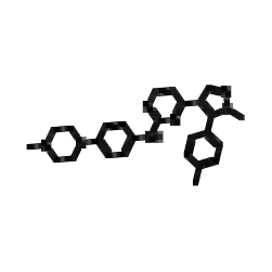 Cc1ccc(-c2c(-c3ccnc(Nc4ccc(N5CCN(C)CC5)cc4)n3)cnn2C)cc1